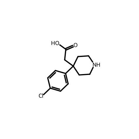 O=C(O)CC1(c2ccc(Cl)cc2)CCNCC1